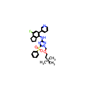 C[Si](C)(C)CCOCn1nc(Nc2c(-c3cccnc3)cc(F)c3c2CCC3)nc1S(=O)(=O)c1ccccc1